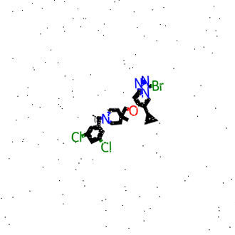 C[C@@H](c1cc(Cl)cc(Cl)c1)N1CCC(C)(COc2cc3nnc(Br)n3cc2C2CC2)CC1